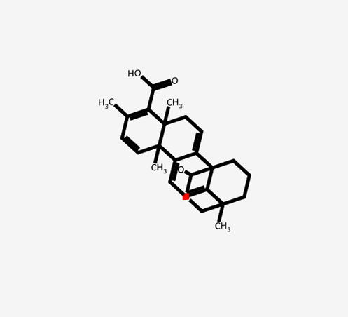 CC1=C(C(=O)O)C2(C)CC=C3C(=CC=C4C5(C)CCCC34C(O)OC5)C2(C)C=C1